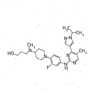 Cc1cnc(Nc2ccc(N3CCC(N(C)CCCO)CC3)c(F)c2)nc1-c1cnn(C(C)C)c1